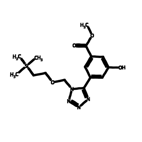 COC(=O)c1cc(O)cc(-c2nnnn2COCC[Si](C)(C)C)c1